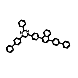 c1ccc(-c2ccc(-c3cc(-c4ccc(-c5ccc(-c6ccc(-c7ccccc7)cc6)c6ccccc56)cc4)nc(-c4ccccc4)n3)cc2)cc1